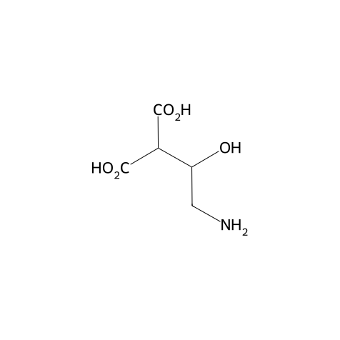 NCC(O)C(C(=O)O)C(=O)O